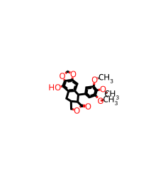 COc1cc(C2c3cc4c(c(O)c3CC3COC(=O)C32)OCO4)cc(OC)c1OC